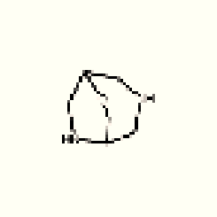 C1NCC2CNC1CO2